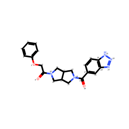 O=C(COc1ccccc1)N1CC2CN(C(=O)c3ccc4[nH]nnc4c3)CC2C1